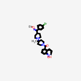 CCO/N=C(\c1ccc(Br)cc1)C1CCN(C2(C)CCN(C(=O)c3cccc4c3ccc[n+]4O)CC2)CC1